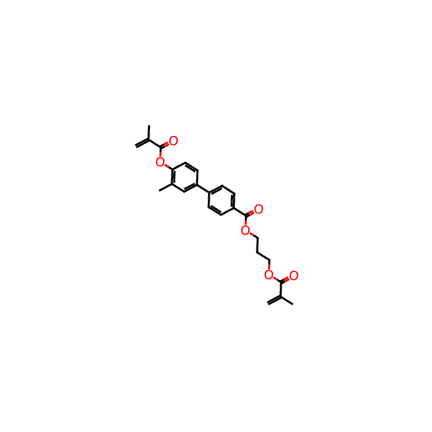 C=C(C)C(=O)OCCCOC(=O)c1ccc(-c2ccc(OC(=O)C(=C)C)c(C)c2)cc1